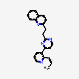 C/C=C\c1ncccc1-c1ccnc(CCc2ccc3ccccc3n2)n1